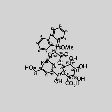 COC(c1ccccc1)(c1ccccc1)[C@H](Oc1nc(CO)cc(CO)n1)C(=O)O[C@@H]1O[C@H](C(=O)O)[C@@H](O)[C@H](O)[C@H]1O